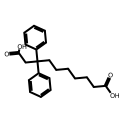 O=C(O)CCCCCCC(CC(=O)O)(c1ccccc1)c1ccccc1